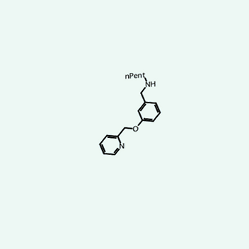 CCCCCNCc1cccc(OCc2ccccn2)c1